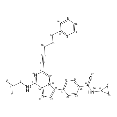 CC(C)CNc1nc(C#CCCCc2ccccc2)cn2c(-c3ccc(C(=O)NC4CC4)cc3)cnc12